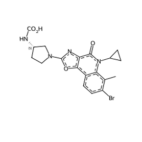 Cc1c(Br)ccc2c3oc(N4CC[C@H](NC(=O)O)C4)nc3c(=O)n(C3CC3)c12